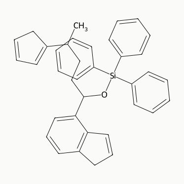 CC(CCC(O[Si](c1ccccc1)(c1ccccc1)c1ccccc1)c1cccc2c1C=CC2)C1=CC=CC1